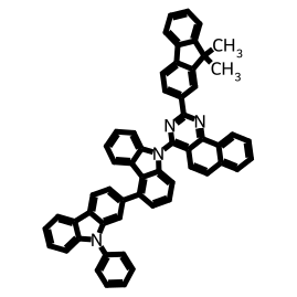 CC1(C)c2ccccc2-c2ccc(-c3nc(-n4c5ccccc5c5c(-c6ccc7c8ccccc8n(-c8ccccc8)c7c6)cccc54)c4ccc5ccccc5c4n3)cc21